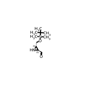 CC(C)(C)[Si](C)(C)OC[C@H]1N[C@@H]1C=O